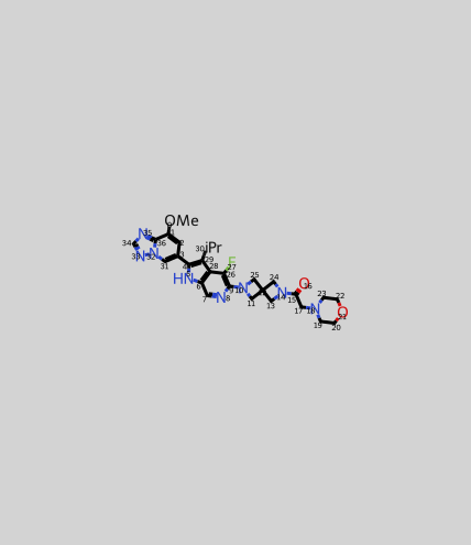 COc1cc(-c2[nH]c3cnc(N4CC5(CN(C(=O)CN6CCOCC6)C5)C4)c(F)c3c2C(C)C)cn2ncnc12